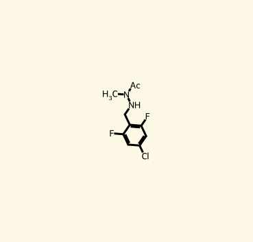 CC(=O)N(C)NCc1c(F)cc(Cl)cc1F